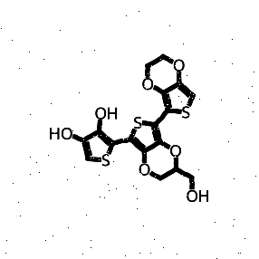 OCC1COc2c(-c3scc(O)c3O)sc(-c3scc4c3OCCO4)c2O1